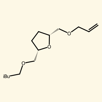 C=CCOC[C@H]1CC[C@@H](COCC(C)CC)O1